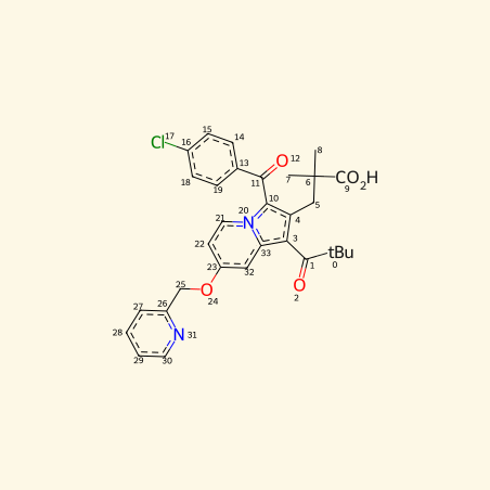 CC(C)(C)C(=O)c1c(CC(C)(C)C(=O)O)c(C(=O)c2ccc(Cl)cc2)n2ccc(OCc3ccccn3)cc12